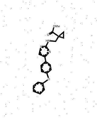 COC(=O)C1(CNc2nc(-c3ccc(Oc4ccccc4)cc3)cs2)CC1